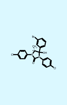 C[C@H]1N(c2ccc(Cl)cc2)C(=O)N(c2ccc(Cl)cc2)C1(O)c1cccc(Br)c1